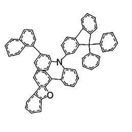 c1ccc(C2(c3ccccc3)c3ccccc3-c3ccc(N(c4cccc(-c5cccc6ccccc56)c4)c4ccccc4-c4cccc5c4oc4ccccc45)cc32)cc1